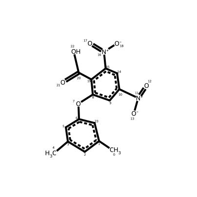 Cc1cc(C)cc(Oc2cc([N+](=O)[O-])cc([N+](=O)[O-])c2C(=O)O)c1